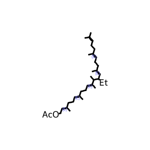 CCC(/C=C(\C)CC/C=C(\C)CCC=C(C)C)C(C)/C(C)=C/CC/C(C)=C/CC/C(C)=C/COC(C)=O